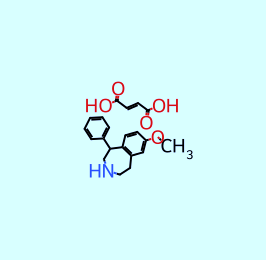 COc1ccc2c(c1)CCNCC2c1ccccc1.O=C(O)C=CC(=O)O